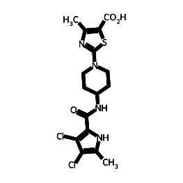 Cc1nc(N2CCC(NC(=O)c3[nH]c(C)c(Cl)c3Cl)CC2)sc1C(=O)O